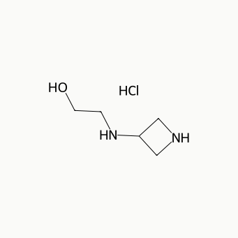 Cl.OCCNC1CNC1